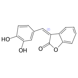 O=C1Oc2ccccc2/C1=C/c1ccc(O)c(O)c1